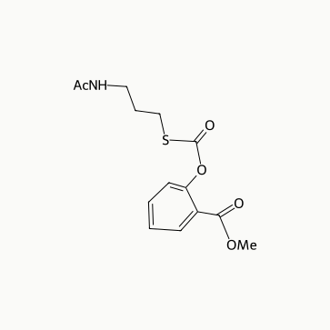 COC(=O)c1ccccc1OC(=O)SCCCNC(C)=O